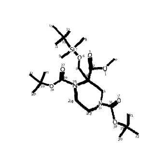 COC(=O)C1(CO[Si](C)(C)C(C)(C)C)CN(C(=O)OC(C)(C)C)CCN1C(=O)OC(C)(C)C